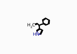 C=CC(c1ccccc1)c1cc[nH]c1